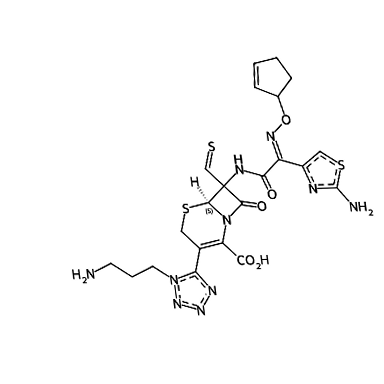 NCCCn1nnnc1C1=C(C(=O)O)N2C(=O)C(C=S)(NC(=O)C(=NOC3C=CCC3)c3csc(N)n3)[C@@H]2SC1